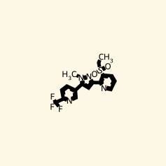 CCS(=O)(=O)c1cccnc1-c1cc(-c2ccc(C(F)(F)F)nc2)n(C)n1